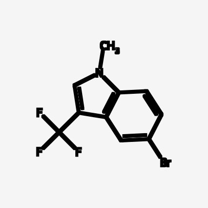 Cn1cc(C(F)(F)F)c2cc(Br)ccc21